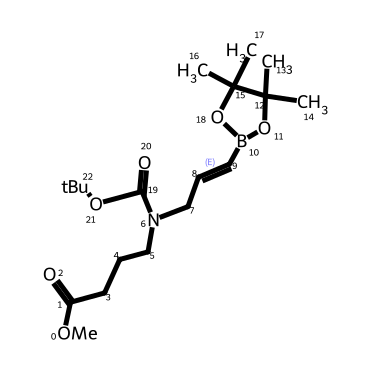 COC(=O)CCCN(C/C=C/B1OC(C)(C)C(C)(C)O1)C(=O)OC(C)(C)C